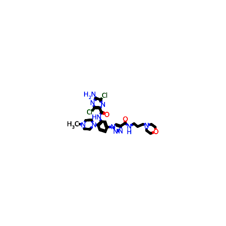 CN1CCN(c2ccc(-n3cc(C(=O)NCCCN4CCOCC4)nn3)cc2NC(=O)c2nc(Cl)c(N)nc2Cl)CC1